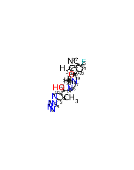 Cc1cc(-n2cnnn2)ncc1C(O)CN1CCN2C[C@@H](c3ccc(F)c(C#N)c3C)OC[C@@H]2C1